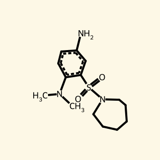 CN(C)c1ccc(N)cc1S(=O)(=O)N1CCCCCC1